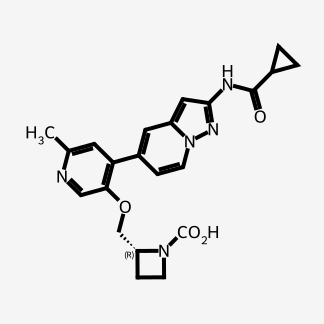 Cc1cc(-c2ccn3nc(NC(=O)C4CC4)cc3c2)c(OC[C@H]2CCN2C(=O)O)cn1